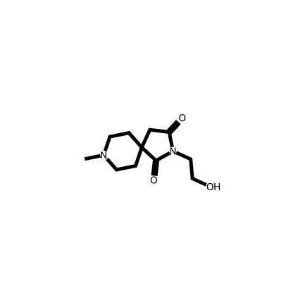 CN1CCC2(CC1)CC(=O)N(CCO)C2=O